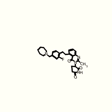 Cc1nc2cccc(CCc3ccc(CN4CCCCCC4)cc3F)c2c(=O)n1C1CCC(=O)NC1=O